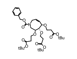 CC(C)(C)OC(=O)CCO[C@@H]1[C@@H](OCCC(=O)OC(C)(C)C)CN(C(=O)OCc2ccccc2)C/C=C\[C@H]1OCCC(=O)OC(C)(C)C